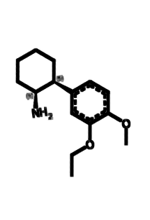 CCOc1cc([C@@H]2CCCC[C@@H]2N)ccc1OC